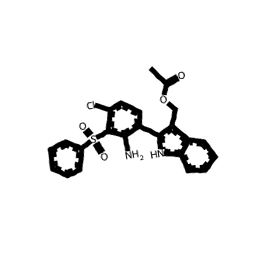 CC(=O)OCc1c(-c2ccc(Cl)c(S(=O)(=O)c3ccccc3)c2N)[nH]c2ccccc12